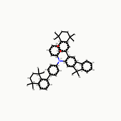 CC1(C)CCC(C)(C)c2cc(-c3cc4c(cc3N(c3ccccc3)c3ccc(-c5cccc6c5C(C)(C)CCC6(C)C)cc3)C(C)(C)c3ccccc3-4)ccc21